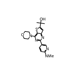 CNc1ccc(-c2nc(N3CCOCC3)c3sc(C(C)(C)O)cc3n2)cn1